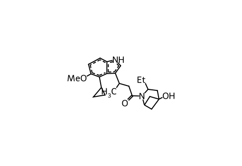 CCC1CC2(O)CC(C2)N1C(=O)CC(C)c1c[nH]c2ccc(OC)c(C3CC3)c12